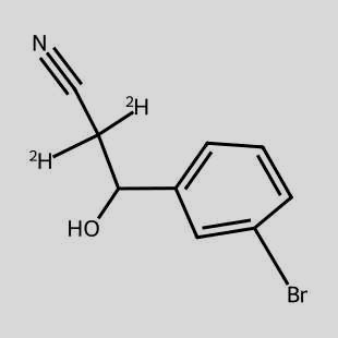 [2H]C([2H])(C#N)C(O)c1cccc(Br)c1